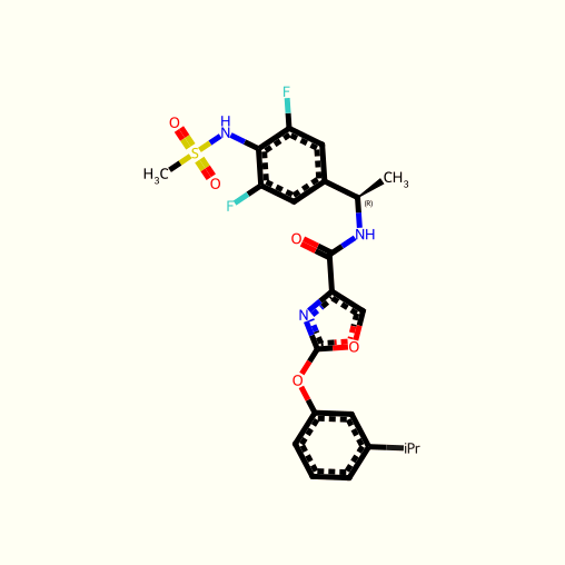 CC(C)c1cccc(Oc2nc(C(=O)N[C@H](C)c3cc(F)c(NS(C)(=O)=O)c(F)c3)co2)c1